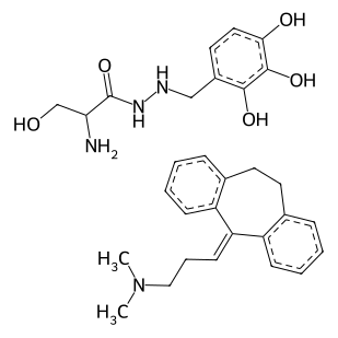 CN(C)CCC=C1c2ccccc2CCc2ccccc21.NC(CO)C(=O)NNCc1ccc(O)c(O)c1O